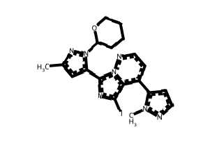 Cc1cc(-c2nc(I)c3c(-c4ccnn4C)ccnn23)n(C2CCCCO2)n1